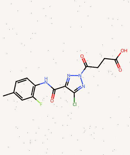 Cc1ccc(NC(=O)c2nn(C(=O)CCC(=O)O)nc2Cl)c(F)c1